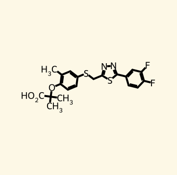 Cc1cc(SCc2nnc(-c3ccc(F)c(F)c3)s2)ccc1OC(C)(C)C(=O)O